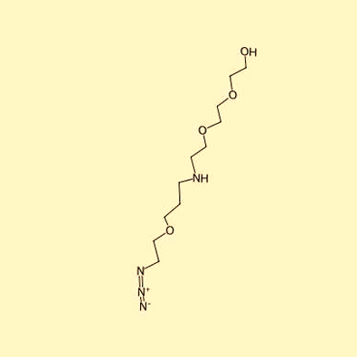 [N-]=[N+]=NCCOCCCNCCOCCOCCO